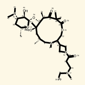 CO[C@]1(C)C[C@@H](C)CN(C)C(C2CN(C(=O)CCN(C)CC(C)C)C2)COC(=O)C(C)(C)C(=O)[C@H](C)[C@H]1O[C@@H]1O[C@H](C)C[C@H](N(C)C)[C@H]1O